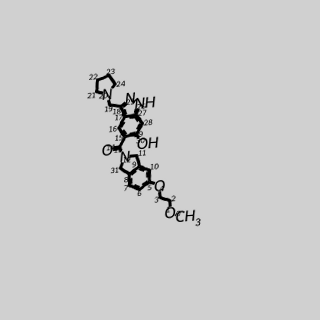 COCCOc1ccc2c(c1)CN(C(=O)c1cc3c(CN4CCCC4)n[nH]c3cc1O)C2